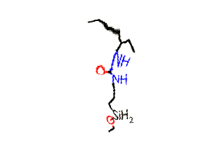 CCCCC(CC)CNC(=O)NCCC[SiH2]OCC